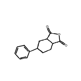 O=C1OC(=O)C2CC(c3ccccc3)CCC12